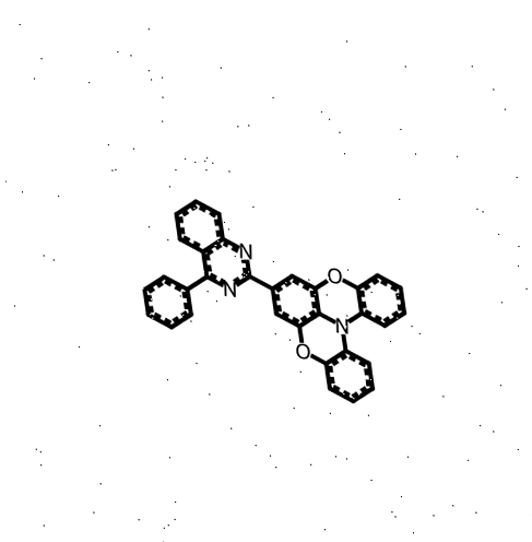 c1ccc(-c2nc(-c3cc4c5c(c3)Oc3ccccc3N5c3ccccc3O4)nc3ccccc23)cc1